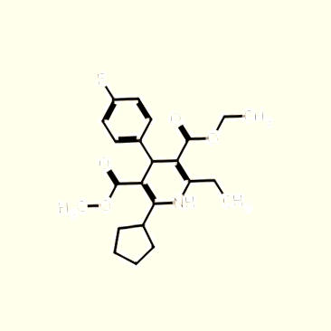 CCOC(=O)C1=C(CC)NC(C2CCCC2)=C(C(=O)OC)C1c1ccc(F)cc1